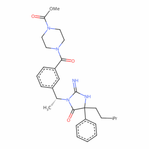 COC(=O)N1CCN(C(=O)c2cccc([C@@H](C)N3C(=N)NC(CCC(C)C)(c4ccccc4)C3=O)c2)CC1